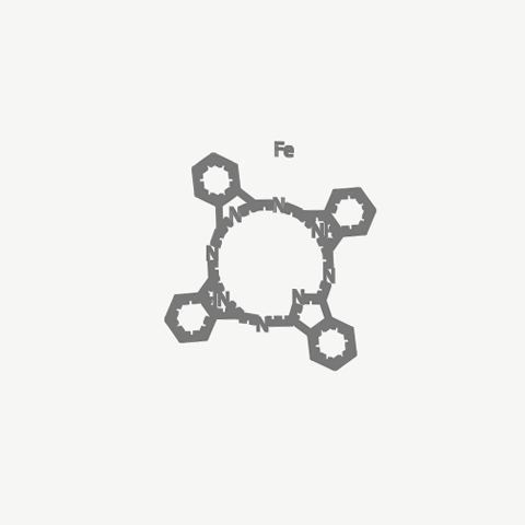 [Fe].c1ccc2c(c1)-c1nc-2nc2[nH]c(nc3nc(nc4[nH]c(n1)c1ccccc41)-c1ccccc1-3)c1ccccc21